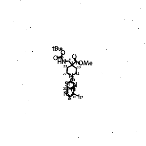 COC(=O)C1(CNC(=O)OC(C)(C)C)CCN(c2nn3c(I)cnc3s2)CC1